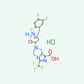 Cl.N[C@@H](CC(=O)N1CCn2c(C(F)(F)F)nc(C(=O)O)c2C1)Cc1cc(F)c(F)cc1F